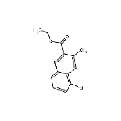 CCOC(=O)c1nc2cccc(Cl)c2cc1C